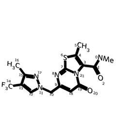 CNC(=O)c1c(C)sc2nc(Cn3cc(C(F)(F)F)c(C)n3)cc(=O)n12